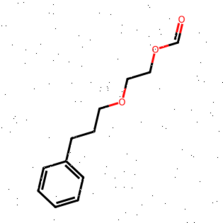 O=COCCOCCCc1ccccc1